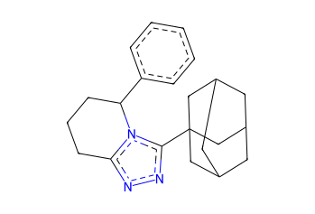 c1ccc(C2CCCc3nnc(C45CC6CC(CC(C6)C4)C5)n32)cc1